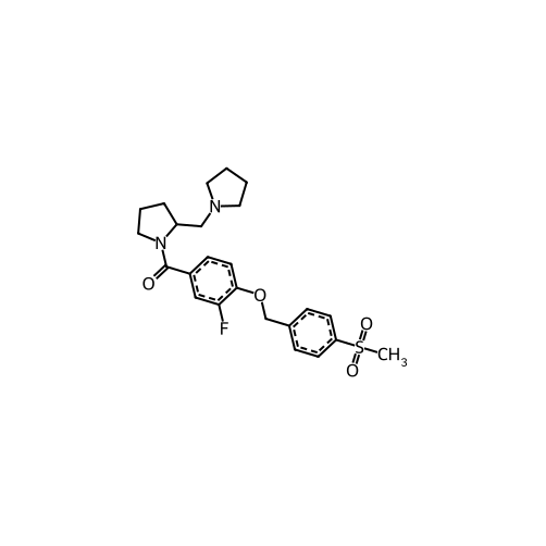 CS(=O)(=O)c1ccc(COc2ccc(C(=O)N3CCCC3CN3CCCC3)cc2F)cc1